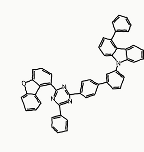 c1ccc(-c2nc(-c3ccc(-c4cccc(-n5c6ccccc6c6c(-c7ccccc7)cccc65)c4)cc3)nc(-c3cccc4oc5ccccc5c34)n2)cc1